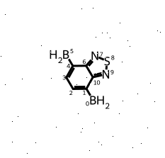 Bc1ccc(B)c2nsnc12